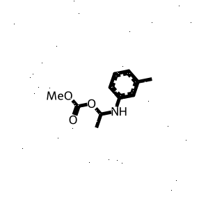 COC(=O)OC(C)Nc1cccc(C)c1